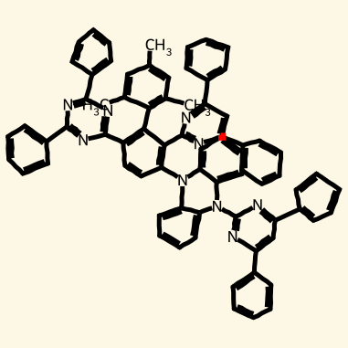 Cc1cc(C)c(-c2c(-c3nc(-c4ccccc4)nc(-c4ccccc4)n3)ccc(N3c4ccccc4N(c4nc(-c5ccccc5)cc(-c5ccccc5)n4)c4ccccc43)c2-c2nc(-c3ccccc3)cc(-c3ccccc3)n2)c(C)c1